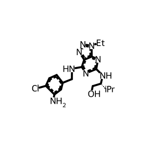 CCn1nnc2c(NCc3ccc(Cl)c(N)c3)nc(N[C@@H](CO)C(C)C)nc21